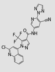 N#Cc1cc(NC(=O)c2cnn(-c3cc(Cl)nc4ccccc34)c2C(F)(F)F)cnc1-n1nccn1